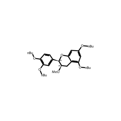 CCCCOc1cc(OCCCC)c2c(c1)O[C@H](c1ccc(OCCCC)c(OCCCC)c1)[C@H](OC)C2